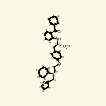 O=C(c1ccccc1)c1ccccc1N[C@@H](Cc1ccc(OCCN(Cc2cccs2)c2ccccc2)cc1)C(=O)O